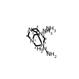 C1N2CN3CN1CN(C2)C3.N.N.NN